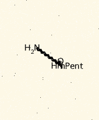 CCCCCNC(=O)CCCCCCCCCCCN